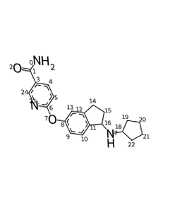 NC(=O)c1ccc(Oc2ccc3c(c2)CCC3NC2CCCC2)nc1